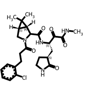 CNC(=O)C(=O)[C@H](C[C@@H]1CCNC1=O)NC(=O)C1[C@@H]2[C@H](CN1C(=O)CCc1ccccc1Cl)C2(C)C